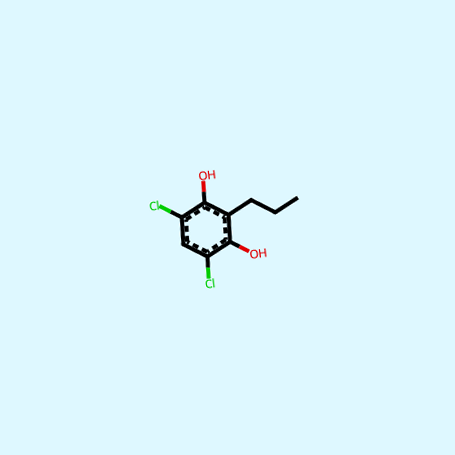 CCCc1c(O)c(Cl)cc(Cl)c1O